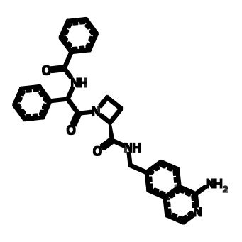 Nc1nccc2cc(CNC(=O)[C@@H]3CCN3C(=O)C(NC(=O)c3ccccc3)c3ccccc3)ccc12